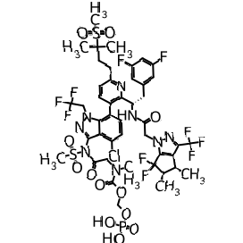 C[C@@H]1c2c(C(F)(F)F)nn(CC(=O)N[C@@H](Cc3cc(F)cc(F)c3)c3nc(CCC(C)(C)S(C)(=O)=O)ccc3-c3ccc(Cl)c4c(N(C(=O)CN(C)C(=O)OCOP(=O)(O)O)S(C)(=O)=O)nn(CC(F)(F)F)c34)c2C(F)(F)[C@@H]1C